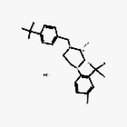 C[C@@H]1CN(c2ccc(F)cc2C(F)(F)F)CCN1Cc1ccc(C(C)(C)C)cc1.Cl